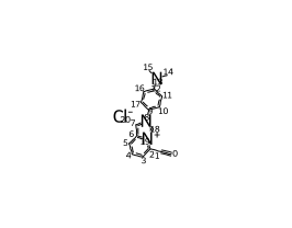 C#Cc1cccc2cn(-c3ccc(N(C)C)cc3)c[n+]12.[Cl-]